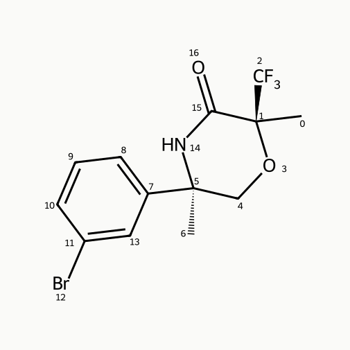 C[C@]1(C(F)(F)F)OC[C@@](C)(c2cccc(Br)c2)NC1=O